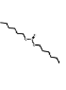 CCCCCCO[Si](=O)OCCCCCC